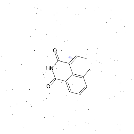 C/C=C1/C(=O)NC(=O)c2cccc(C)c21